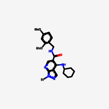 CCn1ncc2c(NC3CCCCC3)c(C(=O)NCc3ccc(OC)cc3OC)cnc21